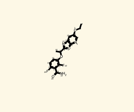 CCOc1cnc2sc(C(C)Oc3ccc(F)c(C(N)=O)c3F)nc2c1